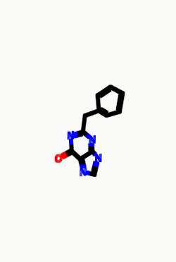 O=C1N=C(Cc2ccccc2)N=C2N=CN=C12